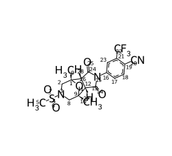 C[C@]12CN(S(C)(=O)=O)C[C@](C)(O1)[C@H]1C(=O)N(c3ccc(C#N)c(C(F)(F)F)c3)C(=O)[C@H]12